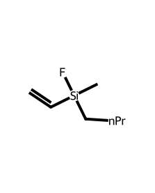 C=C[Si](C)(F)CCCC